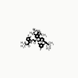 CN(C)C(=O)c1nn(CC(=O)N[C@@H](Cc2cc(F)cc(F)c2)c2nc(C#CC(C)(C)O)ccc2-c2ccc(Cl)c3c(N[S+](C)[O-])nn(C)c23)c2c1CCC2(F)F